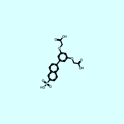 O=C(O)COc1cc(OCC(=O)O)cc(-c2ccc3cc(S(=O)(=O)O)ccc3c2)c1